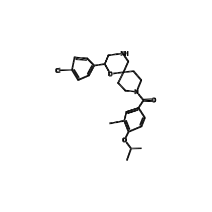 Cc1cc(C(=O)N2CCC3(CC2)CNCC(c2ccc(Cl)cc2)O3)ccc1OC(C)C